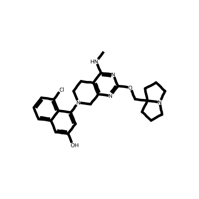 CNc1nc(OCC23CCCN2CCC3)nc2c1CCN(c1cc(O)cc3cccc(Cl)c13)C2